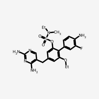 CCOc1cc(Cc2cnc(N)nc2N)cc(OS(=O)(=O)N(C)CC)c1-c1ccc(N)c(F)c1